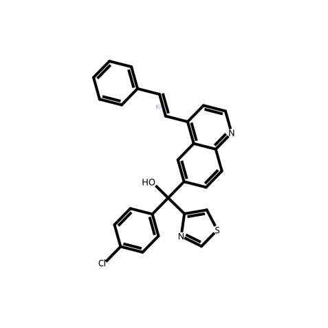 OC(c1ccc(Cl)cc1)(c1ccc2nccc(/C=C/c3ccccc3)c2c1)c1cscn1